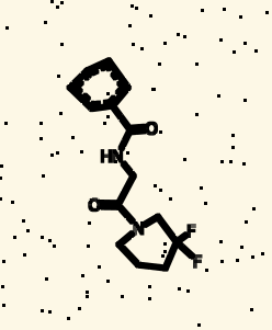 O=C(NCC(=O)N1CCCC(F)(F)C1)c1ccccc1